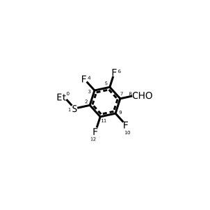 CCSc1c(F)c(F)c(C=O)c(F)c1F